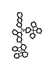 c1ccc(C2(c3ccc(N(c4ccc5cc6ccccc6cc5c4)c4cc5cc(-c6cccc7c6-c6ccccc6[Si]76c7ccccc7-c7ccccc76)ccc5c5ccccc45)cc3)c3ccccc3-c3ccccc32)cc1